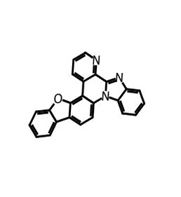 c1ccc2c(c1)nc1c3ncccc3c3c4oc5ccccc5c4ccc3n21